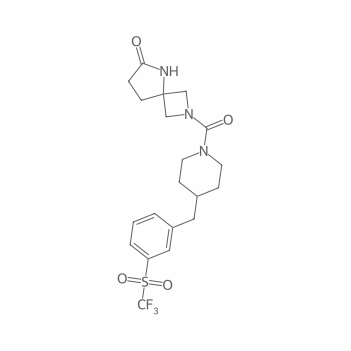 O=C1CCC2(CN(C(=O)N3CCC(Cc4cccc(S(=O)(=O)C(F)(F)F)c4)CC3)C2)N1